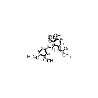 COc1ccc(CCc2c(NC(C)=O)ccc(O)c2OC)cc1OC